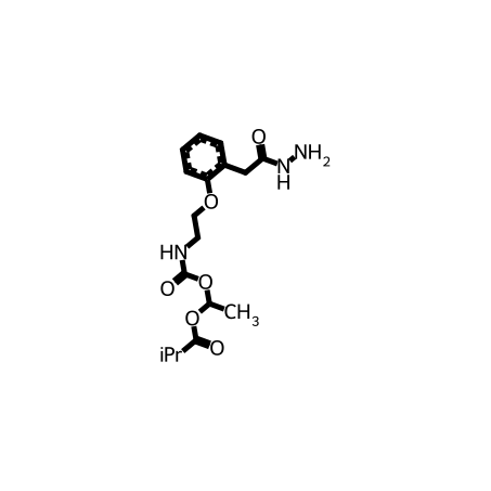 CC(OC(=O)NCCOc1ccccc1CC(=O)NN)OC(=O)C(C)C